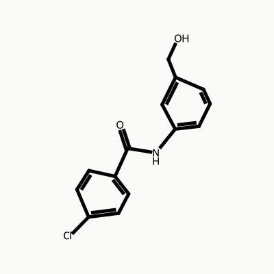 O=C(Nc1cccc(CO)c1)c1ccc(Cl)cc1